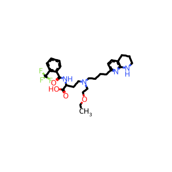 CCOCCN(CCCCc1ccc2c(n1)NCCC2)CCC(NC(=O)c1ccccc1C(F)(F)F)C(=O)O